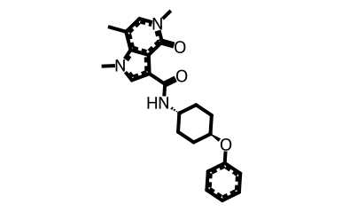 Cc1cn(C)c(=O)c2c(C(=O)N[C@H]3CC[C@H](Oc4ccccc4)CC3)cn(C)c12